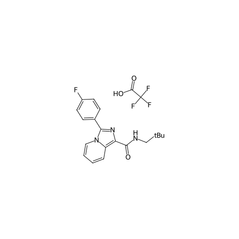 CC(C)(C)CNC(=O)c1nc(-c2ccc(F)cc2)n2ccccc12.O=C(O)C(F)(F)F